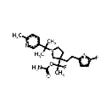 Cc1ccc(C(C)(C)N2CCC(CCc3ccc(F)s3)(C(C)(F)OC(N)=O)C2)cn1